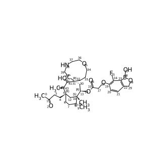 CC(=O)CC[C@]12CC[C@@H](C)[C@](C)(C1)[C@H](OC(=O)COc1ccc3c(c1F)B(O)OC3)C[C@]1(CCCOCCNCC1)[C@@H](O)[C@@H]2C